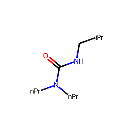 CCCN(CCC)C(=O)NCC(C)C